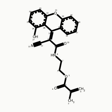 C=C(C)C(=O)OCCNC(=O)C(C#N)=C1c2ccccc2Oc2cccc(O)c21